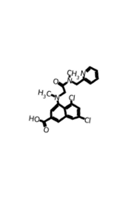 CN(Cc1ccccn1)C(=O)CN(C)c1cc(C(=O)O)cc2cc(Cl)cc(Cl)c12